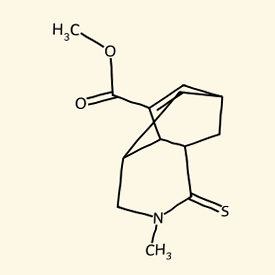 COC(=O)C1=CC2CC3CN(C)C(=S)C(C2)C13